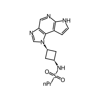 CCCS(=O)(=O)N[C@H]1C[C@@H](n2cnc3cnc4[nH]ccc4c32)C1